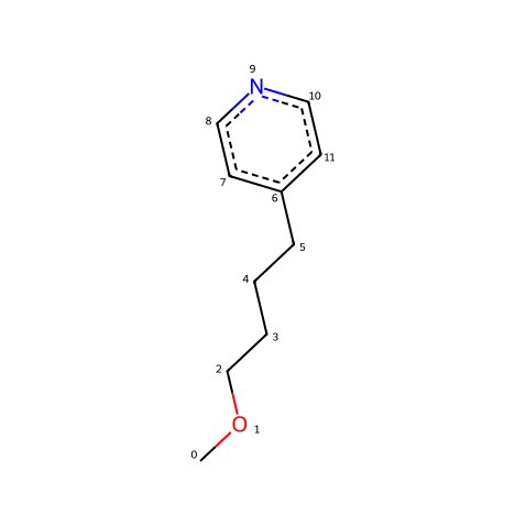 COCCCCc1ccncc1